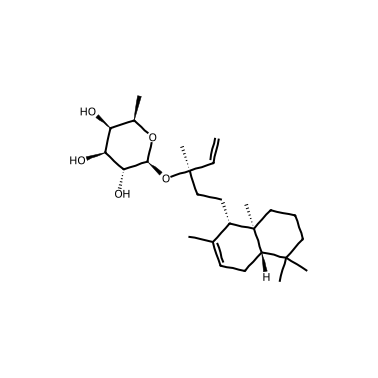 C=C[C@@](C)(CC[C@H]1C(C)=CC[C@H]2C(C)(C)CCC[C@]12C)O[C@@H]1O[C@H](C)[C@H](O)[C@H](O)[C@H]1O